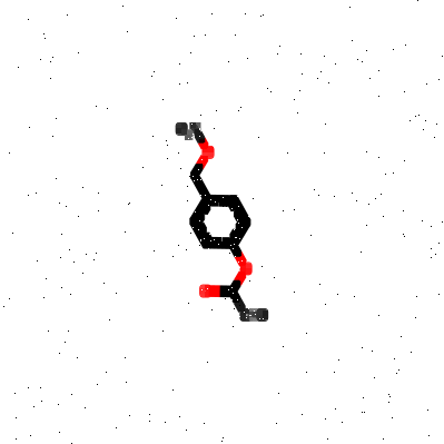 O=CC(=O)Oc1ccc(CO[N+](=O)[O-])cc1